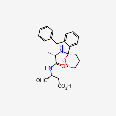 C[C@H](NC1(c2ccccc2Cc2ccccc2)CCCCO1)C(=O)N[C@H](C=O)CC(=O)O